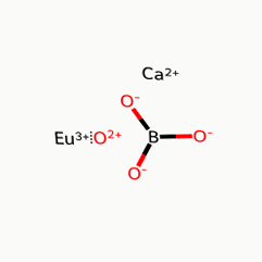 [Ca+2].[Eu+3].[O+2].[O-]B([O-])[O-]